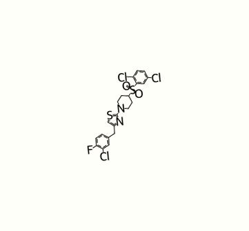 O=S(=O)(c1cc(Cl)ccc1Cl)C1CCN(c2nc(Cc3ccc(F)c(Cl)c3)cs2)CC1